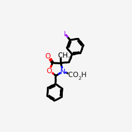 CC1(Cc2cccc(I)c2)C(=O)OC(c2ccccc2)N1C(=O)O